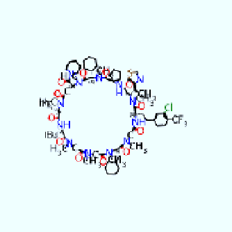 CC[C@H](C)[C@@H]1NC(=O)[C@H](CC(C)C)N(C)C(=O)C[C@@H](C(=O)N2CCCCC2)N(C)C(=O)[C@H](C2CCCCC2)N(C)C(=O)C2(CCCC2)NC(=O)[C@H](C(C)c2cscn2)N(C)C(=O)[C@H](CCc2ccc(C(F)(F)F)c(Cl)c2)NC(=O)CN(C)C(=O)[C@H](CC2CCCCC2)N(C)C(=O)CN(C)C(=O)CN(C)C1=O